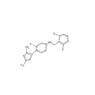 Cn1nc(C(F)(F)F)cc1-c1ccc(NCc2c(F)cncc2F)cc1F